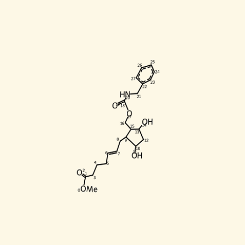 COC(=O)CCCC=CCC1C(O)CC(O)C1COC(=O)NCc1ccccc1